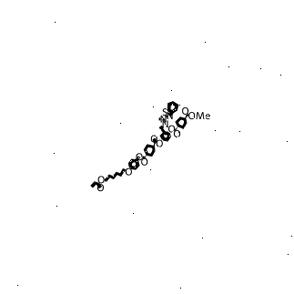 C=CC(=O)OCCCCCCOc1ccc(OC(=O)[C@H]2CC[C@H](C(=O)Oc3ccc(OC(=O)[C@H]4CC[C@H](C(=O)OC)CC4)c(/C=N/N(C)c4nc5ccccc5s4)c3)CC2)cc1